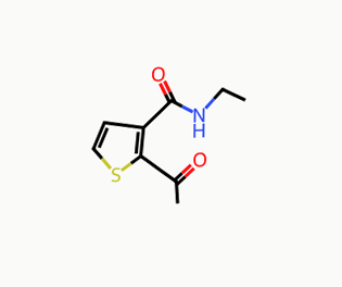 CCNC(=O)c1ccsc1C(C)=O